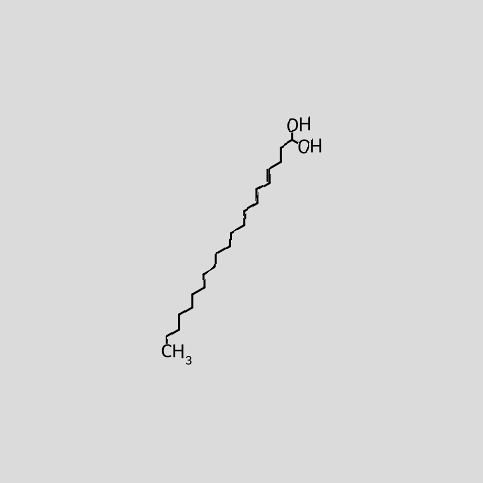 CCCCCCCCCCCCCCCCC=CCCC(O)O